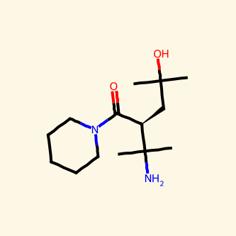 CC(C)(O)C[C@H](C(=O)N1CCCCC1)C(C)(C)N